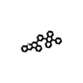 c1ccc(-c2c3ccccc3c(-c3cccc(-c4cc5nc6ccccc6cc5c5ccccc45)c3)c3ccccc23)cc1